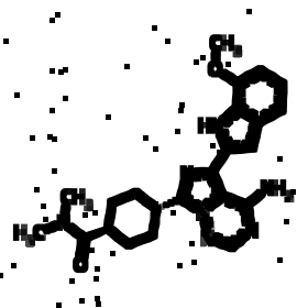 COc1cccc2cc(-c3nc([C@H]4CC[C@H](C(=O)N(C)C)CC4)n4ncnc(N)c34)[nH]c12